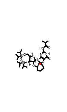 CC(C)C(=O)Nc1nc2c(ncn2[C@@H]2O[C@@H]3CO[Si](C(C)C)(C(C)C)O[Si](C(C)C)(C(C)C)O[C@H]3C2OC2CCCCO2)c(=O)[nH]1